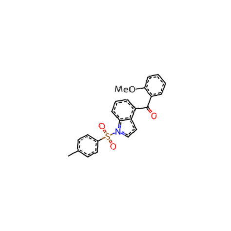 COc1ccccc1C(=O)c1cccc2c1ccn2S(=O)(=O)c1ccc(C)cc1